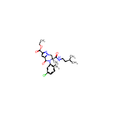 CCOC(=O)c1cc2n(n1)CC(C)(C(=O)NCCC(C)C)N(c1cc(Cl)ccc1C)C2=O